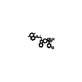 C[C@@H](COc1ccnc2c1[C@H](C)CC[C@@H]2C)C[C@H]1Cc2ccccc2C12CCC(Nc1cccc(Cl)c1)(C(=O)O)CC2